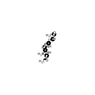 C=CC(=O)N1CCC(Nc2cc3c(Nc4ccc(Oc5ccnc(N6CCOC[C@@H]6C)c5)cc4F)ncnc3cc2OC)CC1